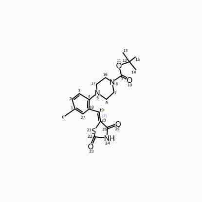 Cc1ccc(N2CCN(C(=O)OC(C)(C)C)CC2)c(/C=C2\SC(=O)NC2=O)c1